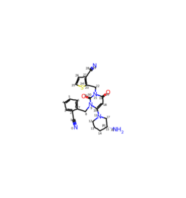 N#Cc1ccccc1Cn1c(N2CCC[C@@H](N)C2)cc(=O)n(Cc2sccc2C#N)c1=O